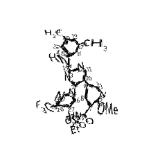 CCS(=O)(=O)NC(=O)c1cc(-c2cnc(Nc3cc(C)cc(C)c3)nc2-n2ccc(C(F)(F)F)n2)cnc1OC